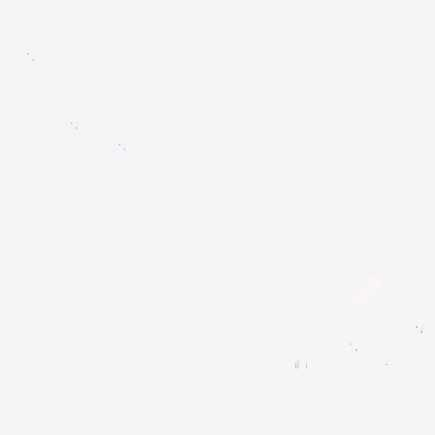 CC(C)CC(C(=O)NC1(C#N)CC1)c1cccc(-c2ccc(-c3csc(N4CCNCC4)n3)cc2)c1